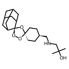 CC(C)(O)CNC[C@H]1CC[C@]2(CC1)OO[C@]1(O2)C2CC3CC(C2)CC1C3